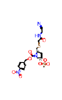 CS(=O)(=O)O[C@H]1C[C@@H](CSCC(=O)NCC#N)N(C(=O)OCc2ccc([N+](=O)[O-])cc2)C1